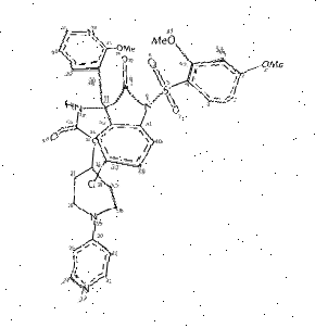 COc1ccc(S(=O)(=O)N2C(=O)C(NC(=O)OC3CCN(c4ccncc4)CC3)(c3cccnc3OC)c3cc(Cl)ccc32)c(OC)c1